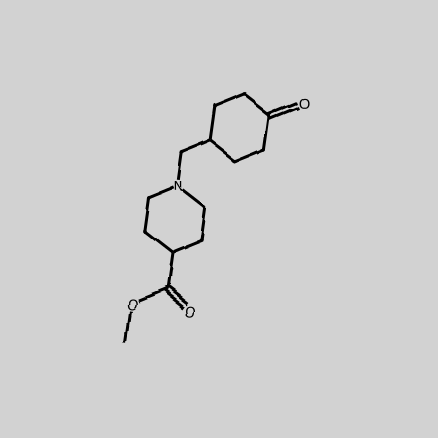 COC(=O)C1CCN(CC2CCC(=O)CC2)CC1